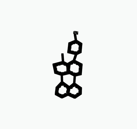 Cc1ccc(-c2cccc3cccc(-c4ccc(-c5ccc(C#N)cc5)cc4)c23)cc1